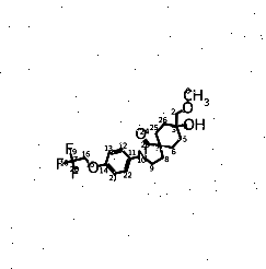 COC[C@]1(O)CC[C@]2(CCN(c3ccc(OCC(F)(F)F)cc3)C2=O)CC1